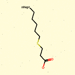 CCCCCCCCCCCCSCCC([O])=O